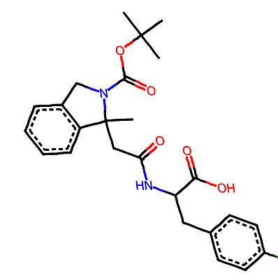 CC(C)(C)OC(=O)N1Cc2ccccc2C1(C)CC(=O)NC(Cc1ccc(Cl)cc1)C(=O)O